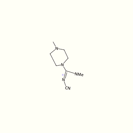 CN/C(=N\C#N)N1CCN(C)CC1